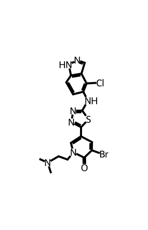 CN(C)CCn1cc(-c2nnc(Nc3ccc4[nH]ncc4c3Cl)s2)cc(Br)c1=O